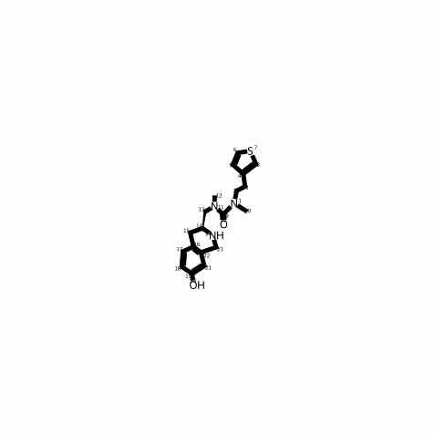 CN(CCc1ccsc1)C(=O)N(C)C[C@@H]1Cc2ccc(O)cc2CN1